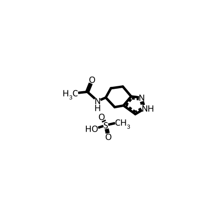 CC(=O)NC1CCc2n[nH]cc2C1.CS(=O)(=O)O